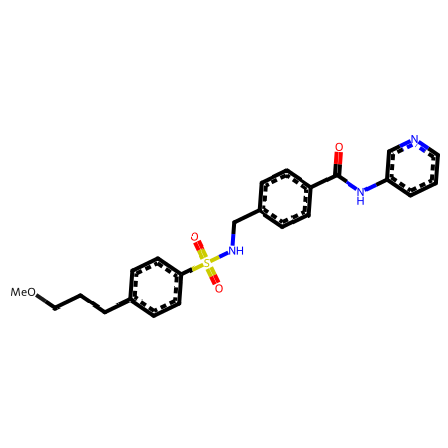 COCCCc1ccc(S(=O)(=O)NCc2ccc(C(=O)Nc3cccnc3)cc2)cc1